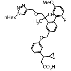 CCCCCCn1cc(COCC(C)(C)c2cc(COc3cccc(C(CC(=O)O)C4CC4)c3)ccc2-c2cc(OC)ccc2F)nn1